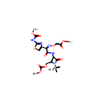 CC(C)OC(=O)OCC1C(NC(=O)/C(=N\OCC(=O)OC(C)(C)C)c2csc(NC(=O)OC(C)(C)C)n2)C(=O)N1[Si](C)(C)C(C)(C)C